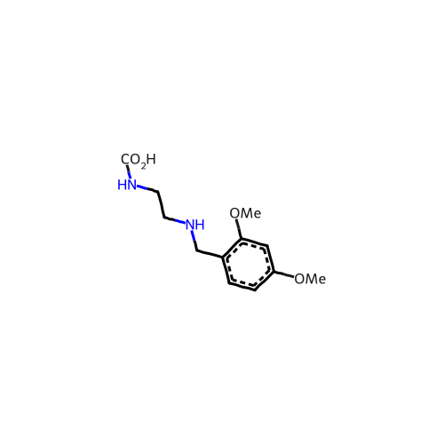 COc1ccc(CNCCNC(=O)O)c(OC)c1